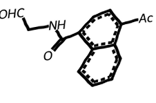 CC(=O)c1ccc(C(=O)NCC=O)c2ccccc12